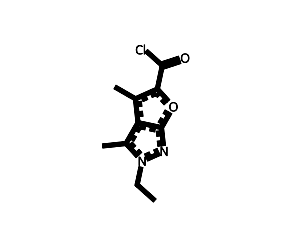 CCn1nc2oc(C(=O)Cl)c(C)c2c1C